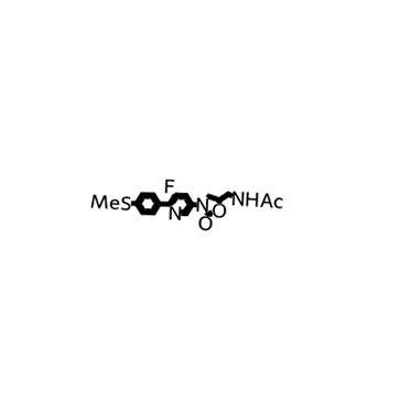 CSc1ccc(-c2ncc(N3CC(CNC(C)=O)OC3=O)cc2F)cc1